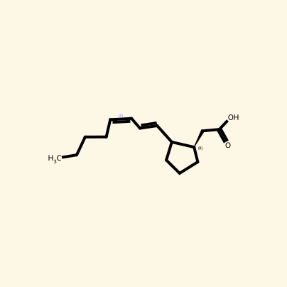 CCCC/C=C\C=CC1CCC[C@@H]1CC(=O)O